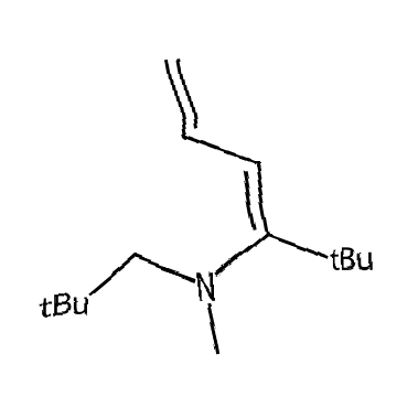 C=C/C=C(\N(C)CC(C)(C)C)C(C)(C)C